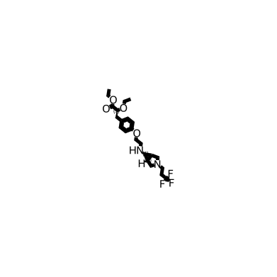 CCOC(=O)[C@H](Cc1ccc(OCCN[C@H]2C3CN(CCC(F)(F)F)C[C@@H]32)cc1)OCC